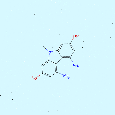 Cn1c2cc(O)cc(N)c2c2c(N)cc(O)cc21